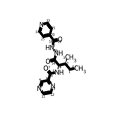 CC[C@@H](C)[C@H](NC(=O)c1cnccn1)C(=O)NNC(=O)c1ccncc1